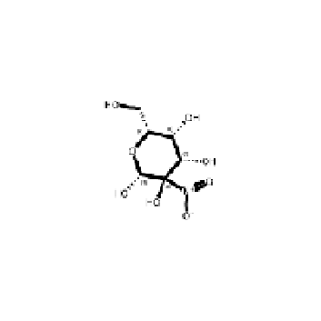 O=[N+]([O-])[C@]1(O)[C@H](O)O[C@H](CO)[C@H](O)[C@@H]1O